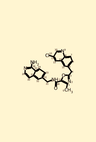 Cc1nc(Cc2ccc3ncc(Cl)cc3c2)oc1C(=O)NCc1ccc2c(N)nccc2c1